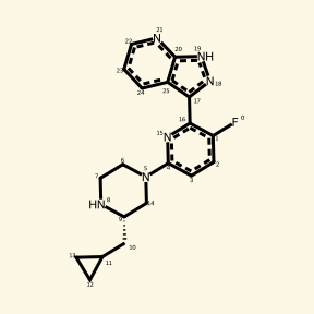 Fc1ccc(N2CCN[C@@H](CC3CC3)C2)nc1-c1n[nH]c2ncccc12